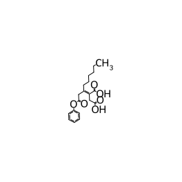 CCCCCCC(CC(=O)Oc1ccccc1)=C(CC(=O)O)C(=O)O